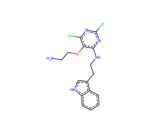 NCCOc1c(Cl)nc(Cl)nc1NCCc1c[nH]c2ccccc12